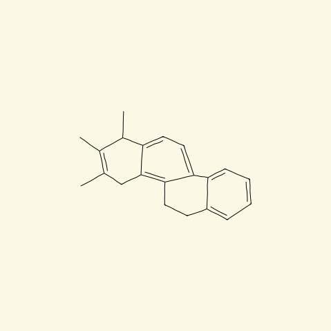 CC1=C(C)C(C)c2ccc3c(c2C1)CCc1ccccc1-3